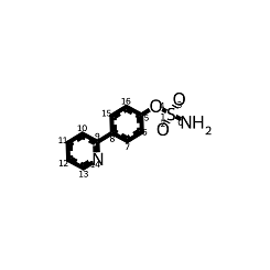 NS(=O)(=O)Oc1ccc(-c2ccccn2)cc1